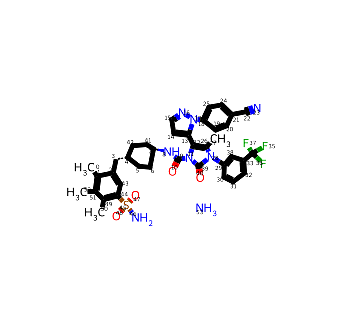 Cc1c(C[C@H]2CC[C@H](NC(=O)n3c(-c4ccnn4-c4ccc(C#N)cc4)c(C)n(-c4cccc(C(F)(F)F)c4)c3=O)CC2)cc(S(N)(=O)=O)c(C)c1C.N